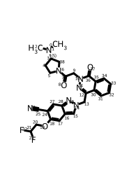 CN(C)[C@H]1CCN(C(=O)Cn2nc(Cn3cc4cc(OCC(F)F)c(C#N)cc4n3)c3ccccc3c2=O)C1